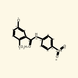 O=C(O)c1ccc(Cl)cc1C(=O)Nc1ccc([SH](=O)=O)cc1